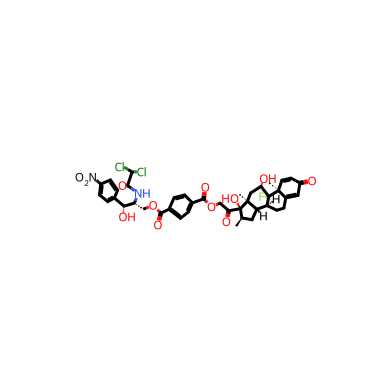 C[C@@H]1C[C@H]2[C@@H]3CCC4=CC(=O)C=C[C@]4(C)[C@@]3(F)[C@@H](O)C[C@]2(C)[C@@]1(O)C(=O)COC(=O)c1ccc(C(=O)OC[C@@H](NC(=O)C(Cl)Cl)[C@H](O)c2ccc([N+](=O)[O-])cc2)cc1